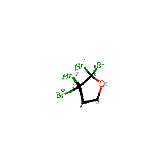 BrC1(Br)CCOC1(Br)Br